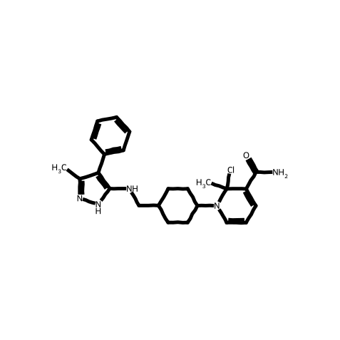 Cc1n[nH]c(NCC2CCC(N3C=CC=C(C(N)=O)C3(C)Cl)CC2)c1-c1ccccc1